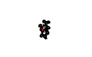 c1ccc2c(c1)c1ccccc1c1cccc3c1n(c1ccccc21)c1nc2c(-c4nc(-n5c6ccccc6c6ccccc65)nc(-n5c6ccccc6c6ccccc65)n4)cccc2n31